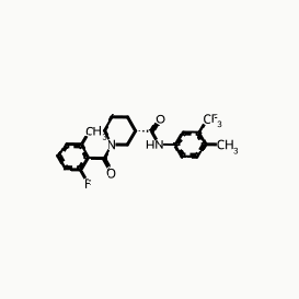 Cc1ccc(NC(=O)[C@H]2CCCN(C(=O)c3c(C)cccc3F)C2)cc1C(F)(F)F